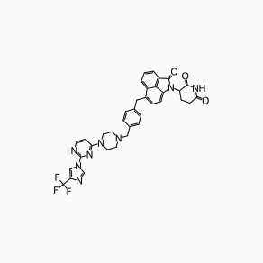 O=C1CCC(N2C(=O)c3cccc4c(Cc5ccc(CN6CCN(c7ccnc(-n8cnc(C(F)(F)F)c8)n7)CC6)cc5)ccc2c34)C(=O)N1